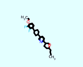 CCCCC1CCC(c2ccc(C3CCC(c4ccc(OCC)c(F)c4F)CC3)cn2)CO1